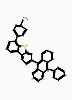 Cc1ccc(-c2cccc3c2sc2cc(-c4c5ccccc5c(-c5ccccc5)c5ccccc45)ccc23)cc1